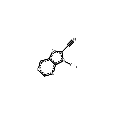 Cn1c(C#N)nc2cncnc21